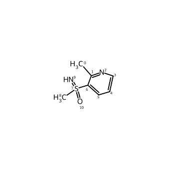 Cc1ncccc1S(C)(=N)=O